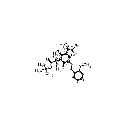 CCc1ccccc1CCn1c(=O)n(C(C)(C)C(=O)OC(C)(C)C)c(=O)c2c(C)c(Br)sc21